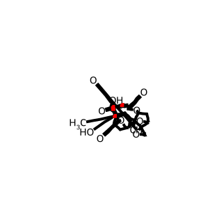 CC1CCOC(=O)/C=C\C=C/C(=O)OC2CC3OC4C=C(C(=O)O)CCC4(COC(=O)C1O)C2(C)C31CO1